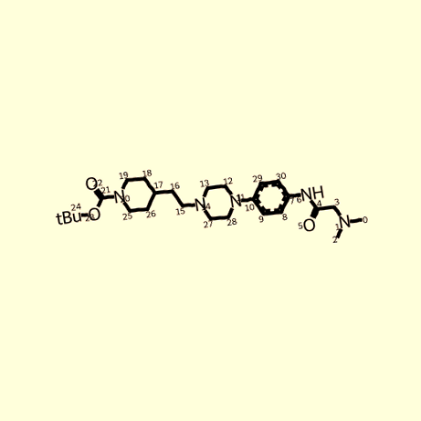 CN(C)CC(=O)Nc1ccc(N2CCN(CCC3CCN(C(=O)OC(C)(C)C)CC3)CC2)cc1